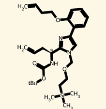 C=CCCOc1ccccc1-c1cn(COCC[Si](C)(C)C)c([C@H](CC=C)NC(=O)OC(C)(C)C)n1